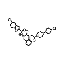 O=C(N[C@@H](Cc1ccccn1)C(=O)NCC(=O)N1CCN(c2ccc(Cl)cc2)CC1)c1cc2cc(Cl)ccc2o1